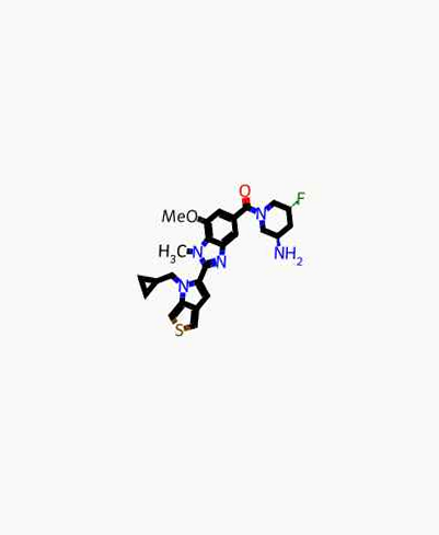 COc1cc(C(=O)N2C[C@H](N)C[C@@H](F)C2)cc2nc(-c3cc4cscc4n3CC3CC3)n(C)c12